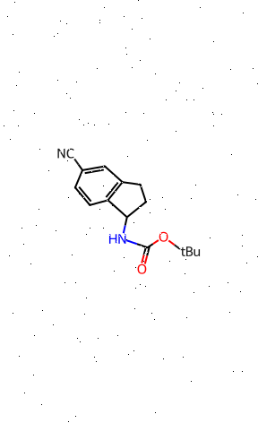 CC(C)(C)OC(=O)NC1CCc2cc(C#N)ccc21